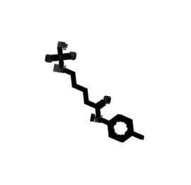 Cc1ccc(NC(=O)CCCCNS(=O)(=O)C(C)C)cc1